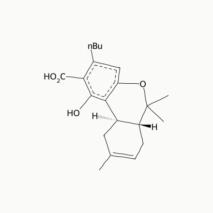 CCCCc1cc2c(c(O)c1C(=O)O)[C@@H]1CC(C)=CC[C@H]1C(C)(C)O2